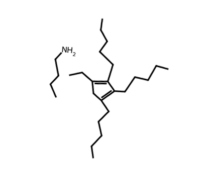 CCCCCC1=C(CCCCC)C(CCCCC)=C(CC)C1.CCCCN